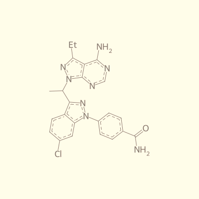 CCc1nn(C(C)c2nn(-c3ccc(C(N)=O)cc3)c3cc(Cl)ccc23)c2ncnc(N)c12